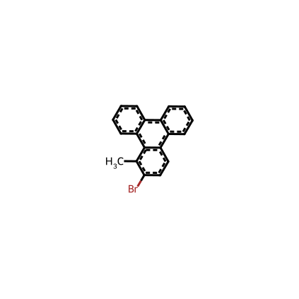 Cc1c(Br)ccc2c3ccccc3c3ccccc3c12